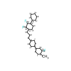 CC1CCC(C2CCC(CCCC3CCC(C4CCCCC4)C(F)[C@H]3F)CC2)CC1F